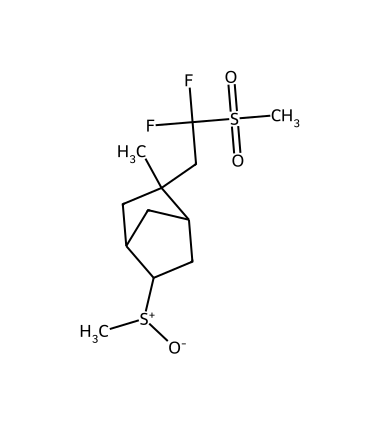 C[S+]([O-])C1CC2CC1CC2(C)CC(F)(F)S(C)(=O)=O